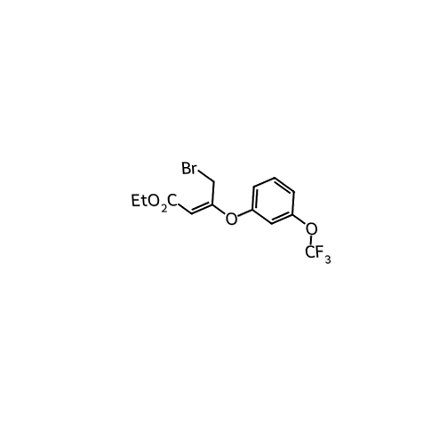 CCOC(=O)C=C(CBr)Oc1cccc(OC(F)(F)F)c1